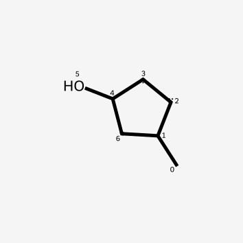 CC1[C][CH]C(O)C1